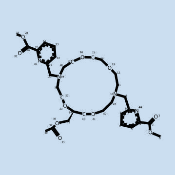 COC(=O)c1cccc(CN2CCOCCOCCN(Cc3cccc(C(=O)OC)n3)CCO[C@H](COC(C)=O)COCC2)n1